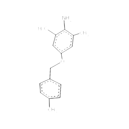 Cc1ccc(COc2cc(C)c(N)c(C)c2)cc1